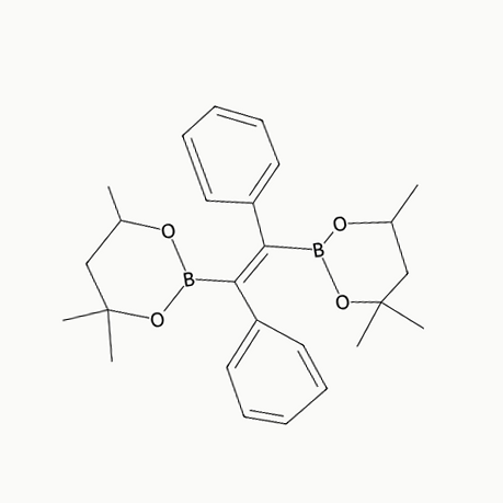 CC1CC(C)(C)OB(/C(=C(/B2OC(C)CC(C)(C)O2)c2ccccc2)c2ccccc2)O1